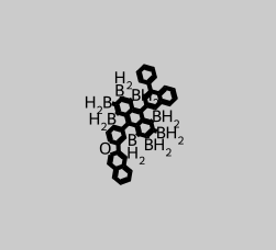 Bc1c(B)c(B)c2c(-c3ccc4oc5cc6ccccc6cc5c4c3)c3c(B)c(B)c(B)c(B)c3c(-c3cc(-c4ccccc4)c4ccccc4c3)c2c1B